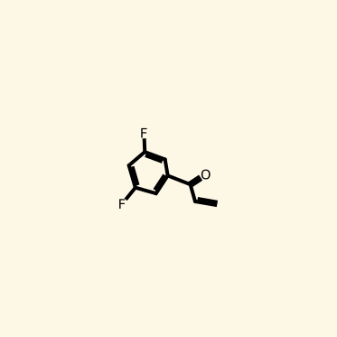 C=CC(=O)c1cc(F)cc(F)c1